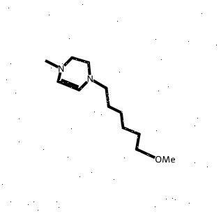 COCCCCCCN1C=CN(C)CC1